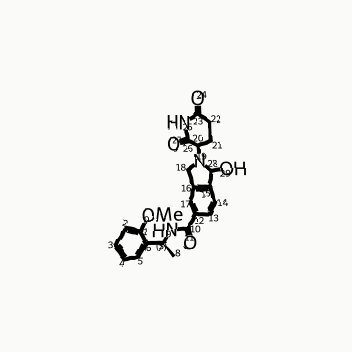 COc1ccccc1[C@H](C)NC(=O)c1ccc2c(c1)CN(C1CCC(=O)NC1=O)C2O